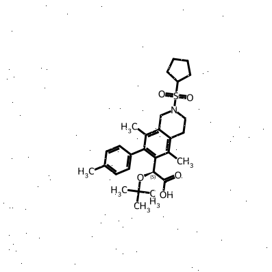 Cc1ccc(-c2c(C)c3c(c(C)c2[C@H](OC(C)(C)C)C(=O)O)CCN(S(=O)(=O)C2CCCC2)C3)cc1